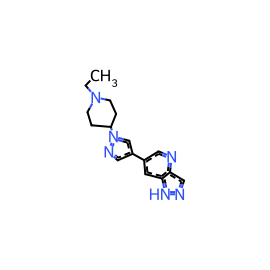 CCN1CCC(n2cc(-c3cnc4cn[nH]c4c3)cn2)CC1